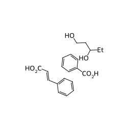 CCC(O)CCO.O=C(O)C=Cc1ccccc1.O=C(O)c1ccccc1